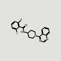 O=C(NC1CCN(c2ncnc3ccccc23)CC1)c1c(F)cccc1I